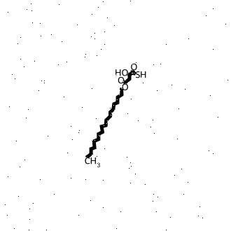 CCCCCCCCCCCCCCCCCCCCOC(=O)CC(O)C(=O)S